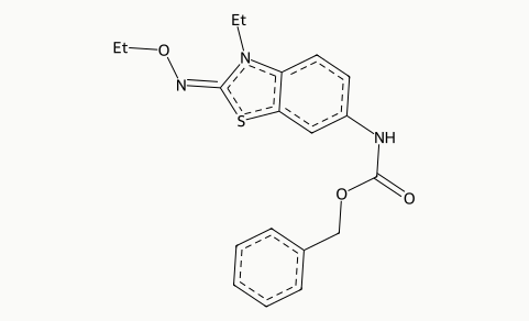 CCON=c1sc2cc(NC(=O)OCc3ccccc3)ccc2n1CC